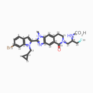 Cn1c(-c2cc3ccc(Br)cc3n2CC2CC2)nc2cc3c(cc21)CCN(CC(CF)NC(=O)O)C3=O